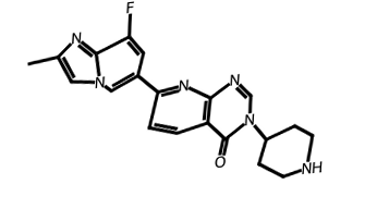 Cc1cn2cc(-c3ccc4c(=O)n(C5CCNCC5)cnc4n3)cc(F)c2n1